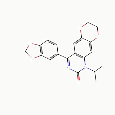 CC(C)n1c(=O)nc(-c2ccc3c(c2)OCO3)c2cc3c(cc21)OCCO3